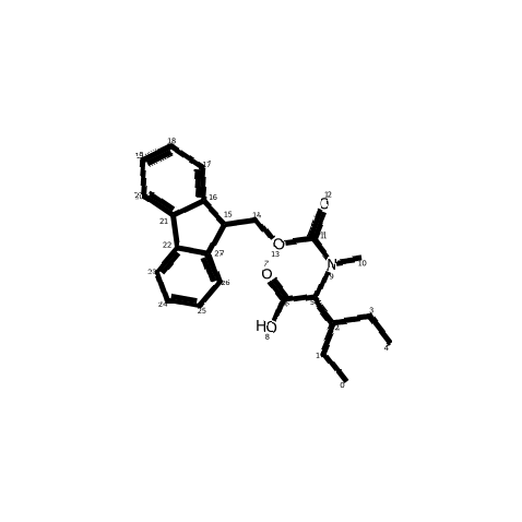 CCC(CC)C(C(=O)O)N(C)C(=O)OCC1c2ccccc2-c2ccccc21